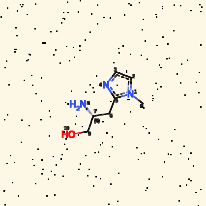 Cn1ccnc1C[C@@H](N)CO